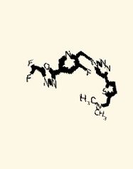 CN(C)Cc1ccc(-c2cn(Cc3ncc(-c4nnc(C(F)F)o4)cc3F)nn2)s1